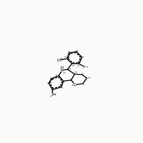 CC(C)c1ccc2c(c1)C1OCCCC1C(c1c(F)cccc1Cl)N2